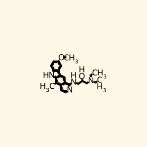 CCN(CC)CC(O)CNc1nccc2c(C)c3[nH]c4ccc(OC)cc4c3cc12